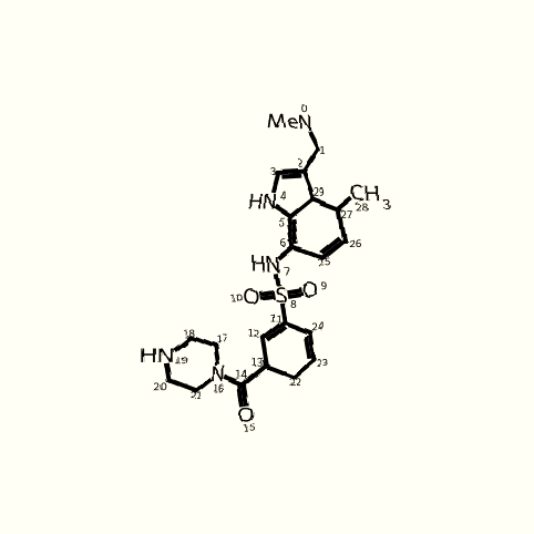 CNCC1=CNC2=C(NS(=O)(=O)C3=CC(C(=O)N4CCNCC4)CC=C3)C=CC(C)C12